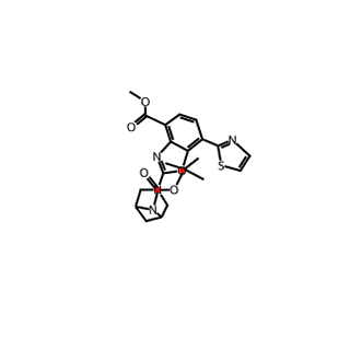 COC(=O)c1ccc(-c2nccs2)c2oc(N3CC4CC(C3)N4C(=O)OC(C)(C)C)nc12